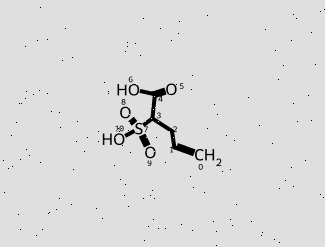 C=CCC(C(=O)O)S(=O)(=O)O